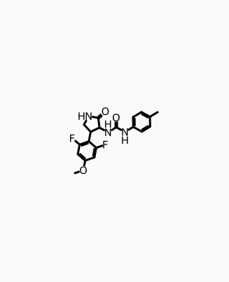 COc1cc(F)c(C2CNC(=O)C2NC(=O)Nc2ccc(C)cc2)c(F)c1